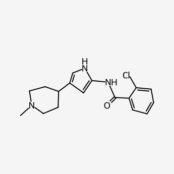 CN1CCC(c2c[nH]c(NC(=O)c3ccccc3Cl)c2)CC1